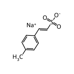 Cc1ccc(C=CS(=O)(=O)[O-])cc1.[Na+]